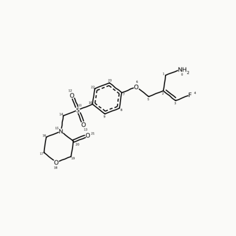 NC/C(=C\F)COc1ccc(S(=O)(=O)CN2CCOCC2=O)cc1